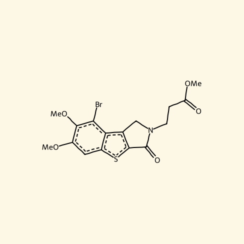 COC(=O)CCN1Cc2c(sc3cc(OC)c(OC)c(Br)c23)C1=O